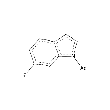 CC(=O)n1ccc2ccc(F)cc21